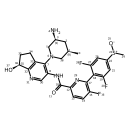 C[C@@H]1C[C@H](N)CN(c2c(NC(=O)c3ccc(F)c(-c4c(F)cc([S+](C)[O-])cc4F)n3)cnc3c2CC[C@@H]3O)C1